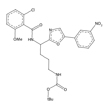 COc1cccc(Cl)c1C(=O)NC(CCCNC(=O)OC(C)(C)C)c1ncc(-c2cccc([N+](=O)[O-])c2)o1